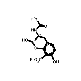 CCCC(=O)N[C@H]1Cc2ccc(O)c(C(=O)OCC)c2OB1O